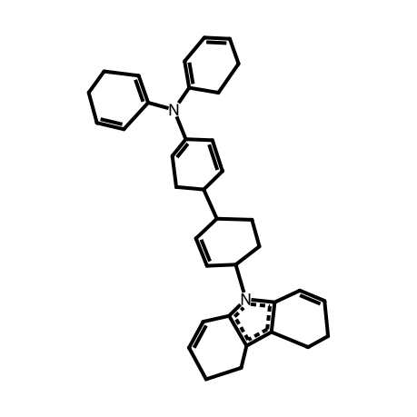 C1=CCCC(N(C2=CCCC=C2)C2=CCC(C3C=CC(n4c5c(c6c4C=CCC6)CCC=C5)CC3)C=C2)=C1